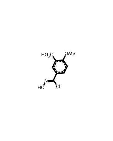 COc1ccc(C(Cl)=NO)cc1C(=O)O